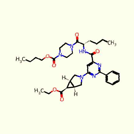 CCCCOC(=O)N1CCN(C(=O)[C@H](CCCC)NC(=O)c2cc(N3C[C@@H]4[C@H](C3)[C@@H]4C(=O)OCC)nc(-c3ccccc3)n2)CC1